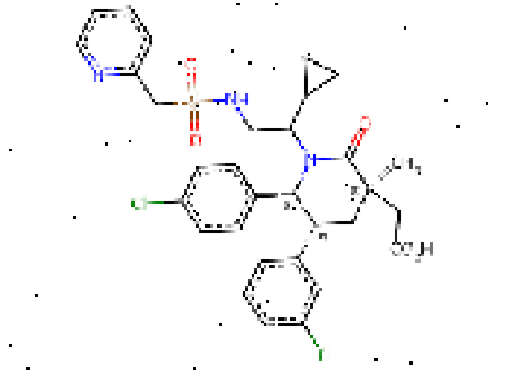 C[C@]1(CC(=O)O)C[C@H](c2cccc(Cl)c2)[C@@H](c2ccc(Cl)cc2)N(C(CNS(=O)(=O)Cc2ccccn2)C2CC2)C1=O